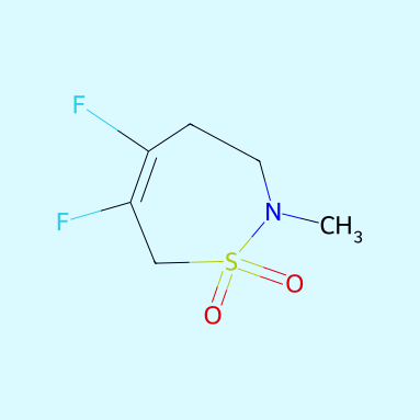 CN1CCC(F)=C(F)CS1(=O)=O